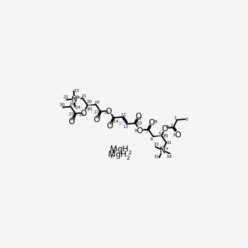 CCC(=O)O[C@H](CC(=O)OC(=O)/C=C/C(=O)OC(=O)C[C@H](C[N+](C)(C)C)OC(=O)CC)C[N+](C)(C)C.[MgH2].[MgH2]